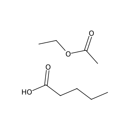 CCCCC(=O)O.CCOC(C)=O